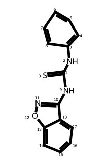 S=C(Nc1ccccc1)Nc1noc2ccccc12